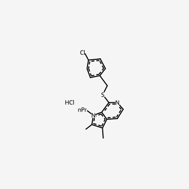 CCCn1c(C)c(C)c2ccnc(SCc3ccc(Cl)cc3)c21.Cl